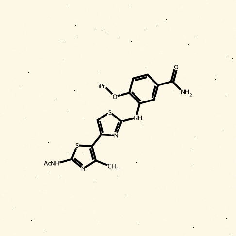 CC(=O)Nc1nc(C)c(-c2csc(Nc3cc(C(N)=O)ccc3OC(C)C)n2)s1